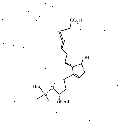 CCCCC[C@@H](CCC1=CC[C@H](O)[C@@H]1CCC=C=CCC(=O)O)O[Si](C)(C)C(C)(C)C